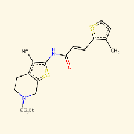 CCOC(=O)N1CCc2c(sc(NC(=O)C=Cc3sccc3C)c2C#N)C1